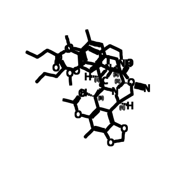 CCCC(=O)Oc1cc2c(cc1OC)[C@@]1(CS[C@@H]3c4c(OC(C)=O)c(C)c5c(c4[C@H](COC1=O)N1C3[C@H]3c4c(cc(C)c(OC)c4OC(=O)CCC)CC([C@@H]1C#N)N3C)OCO5)NCC2